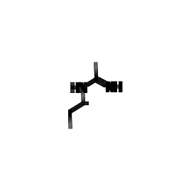 CC[CH]NC(C)=N